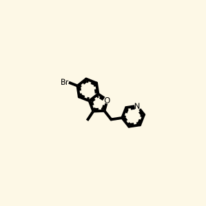 Cc1c(Cc2cccnc2)oc2ccc(Br)cc12